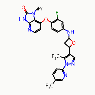 CC(C)n1c(=O)[nH]c2nccc(Oc3ccc(NC4CC(c5cnn(-c6ccc(C(F)(F)F)cn6)c5C(F)(F)F)O4)cc3F)c21